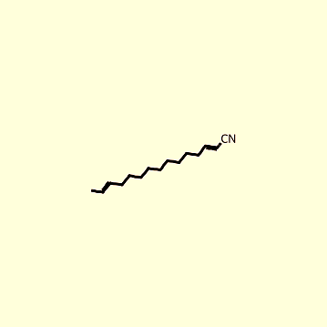 CC=CCCCCCCCCCC=CC#N